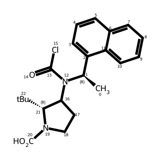 C[C@H](c1cccc2ccccc12)N(C(=O)Cl)C1CCN(C(=O)O)[C@@H]1C(C)(C)C